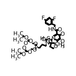 Cc1c(O)c(=O)c(C(=O)NCc2ccc(F)cc2F)cn1N(C)C1(N(C=O)CCCP(OCOC(=O)OC(C)C)OCOC(=O)OC(C)C)CCOC1